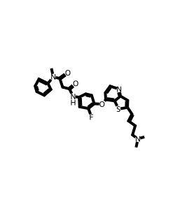 CN(C)CCC=Cc1cc2nccc(Oc3ccc(NC(=O)CC(=O)N(C)c4ccccc4)cc3F)c2s1